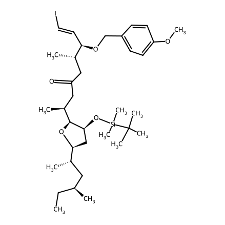 CC[C@H](C)C[C@H](C)[C@@H]1C[C@H](O[Si](C)(C)C(C)(C)C)[C@H]([C@@H](C)CC(=O)C[C@H](C)[C@@H](/C=C/I)OCc2ccc(OC)cc2)O1